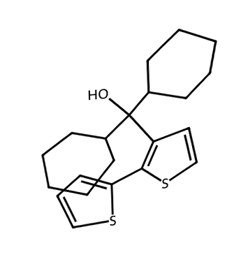 OC(c1ccsc1-c1cccs1)(C1CCCCC1)C1CCCCC1